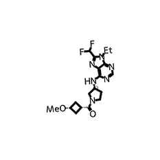 CCn1c(C(F)F)nc2c(N[C@H]3CCN(C(=O)[C@H]4C[C@@H](OC)C4)C3)ncnc21